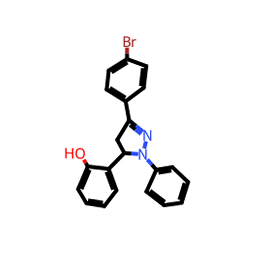 Oc1ccccc1C1CC(c2ccc(Br)cc2)=NN1c1ccccc1